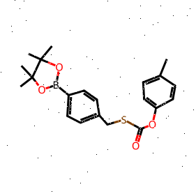 Cc1ccc(OC(=O)SCc2ccc(B3OC(C)(C)C(C)(C)O3)cc2)cc1